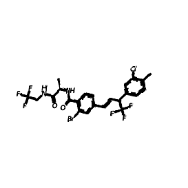 Cc1ccc(C(/C=C/c2ccc(C(=O)N[C@H](C)C(=O)NCC(F)(F)F)c(Br)c2)C(F)(F)F)cc1Cl